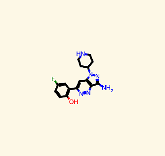 Nc1nn(C2CCNCC2)c2cc(-c3cc(F)ccc3O)nnc12